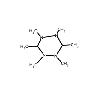 CC1N(C)N(C)C(C)N(C)N1C